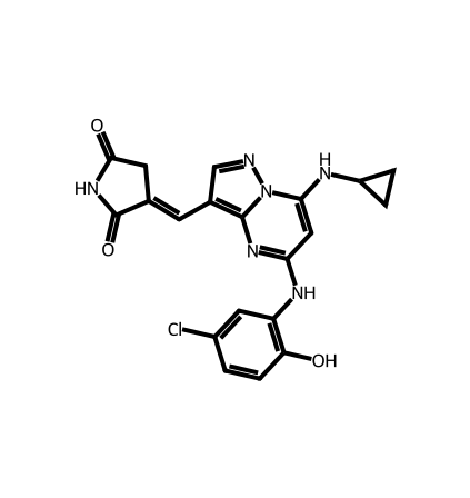 O=C1C/C(=C\c2cnn3c(NC4CC4)cc(Nc4cc(Cl)ccc4O)nc23)C(=O)N1